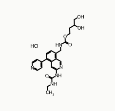 CCNC(=O)Nc1cc2c(-c3ccncc3)ccc(CNC(=O)OCCC(O)CO)c2cn1.Cl